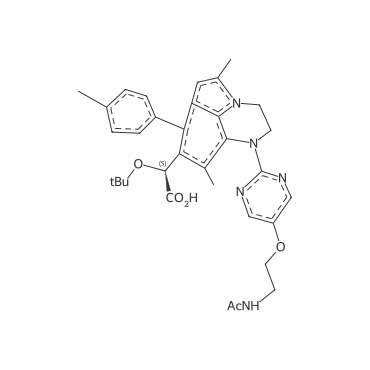 CC(=O)NCCOc1cnc(N2CCn3c(C)cc4c(-c5ccc(C)cc5)c([C@H](OC(C)(C)C)C(=O)O)c(C)c2c43)nc1